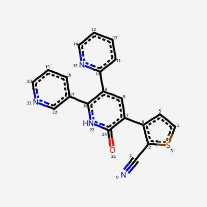 N#Cc1sccc1-c1cc(-c2ccccn2)c(-c2cccnc2)[nH]c1=O